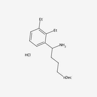 CCCCCCCCCCCCCC(N)c1cccc(CC)c1CC.Cl